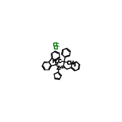 CC(C)(/[C](Cc1ccccc1)=[Zr+2](/[C]1=CC=CC1)[CH]1c2ccccc2-c2ccccc21)c1ccccc1.[Cl-].[Cl-]